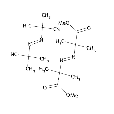 CC(C)(C#N)N=NC(C)(C)C#N.COC(=O)C(C)(C)N=NC(C)(C)C(=O)OC